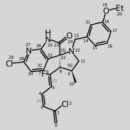 C=C(Cl)/C=C\C=C(/F)C1[C@H](C)CN(Cc2cccc(OCC)c2)[C@@]12C(=O)Nc1nc(Cl)ccc12